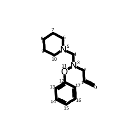 C=CCN(CN1CCCCC1)Oc1ccccc1